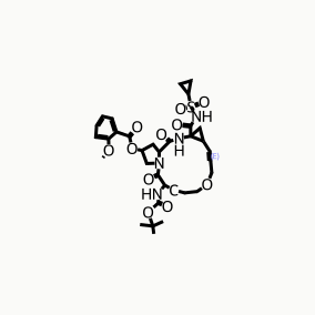 COc1ccccc1C(=O)OC1CC2C(=O)NC3(C(=O)NS(=O)(=O)C4CC4)CC3/C=C/COCCCC(NC(=O)OC(C)(C)C)C(=O)N2C1